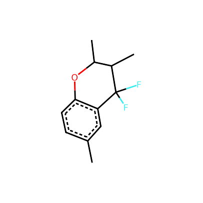 Cc1ccc2c(c1)C(F)(F)C(C)C(C)O2